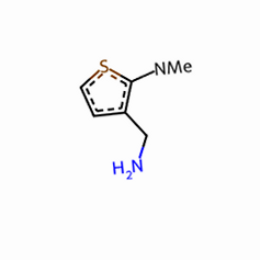 CNc1sccc1CN